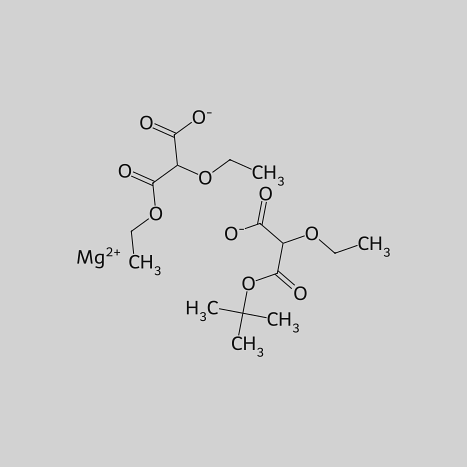 CCOC(=O)C(OCC)C(=O)[O-].CCOC(C(=O)[O-])C(=O)OC(C)(C)C.[Mg+2]